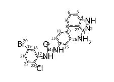 Nc1n[nH]c2cccc(-c3ccc(NC(=O)Nc4cc(Br)ccc4Cl)cc3)c12